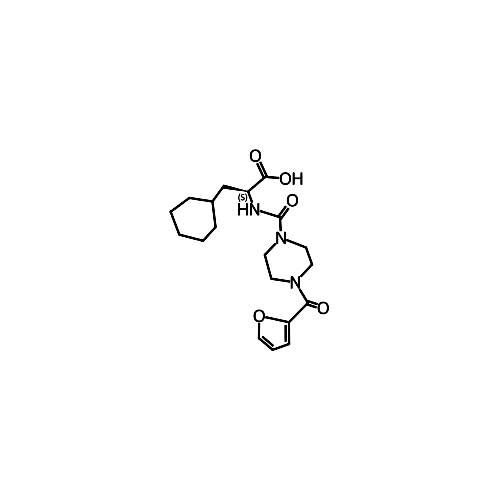 O=C(O)[C@H](CC1CCCCC1)NC(=O)N1CCN(C(=O)c2ccco2)CC1